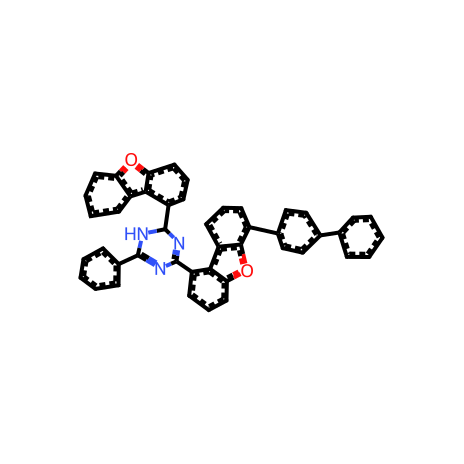 c1ccc(C2=NC(c3cccc4oc5c(-c6ccc(-c7ccccc7)cc6)cccc5c34)=NC(c3cccc4oc5ccccc5c34)N2)cc1